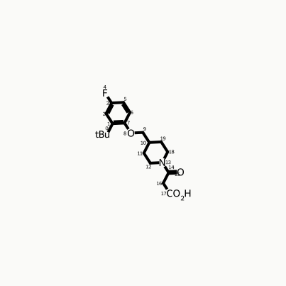 CC(C)(C)c1cc(F)ccc1OCC1CCN(C(=O)CC(=O)O)CC1